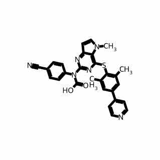 Cc1cc(-c2ccncc2)cc(C)c1Sc1nc(N(C(=O)O)c2ccc(C#N)cc2)nc2ccn(C)c12